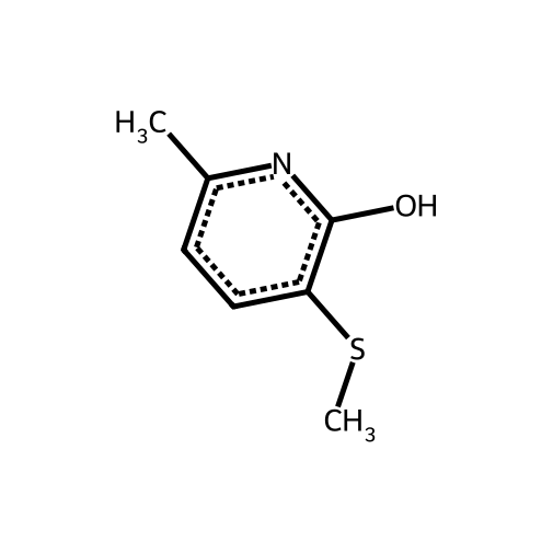 CSc1ccc(C)nc1O